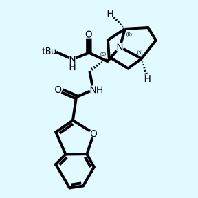 CC(C)(C)NC(=O)CN1[C@@H]2CC[C@H]1C[C@H](CNC(=O)c1cc3ccccc3o1)C2